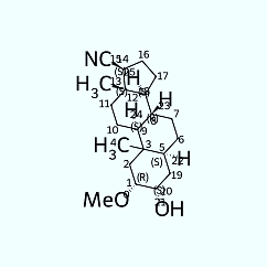 CO[C@@H]1CC2(C)[C@@H](CC[C@@H]3[C@@H]2CC[C@]2(C)[C@@H](C#N)CC[C@@H]32)C[C@@H]1O